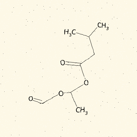 CC(C)CC(=O)OC(C)O[C]=O